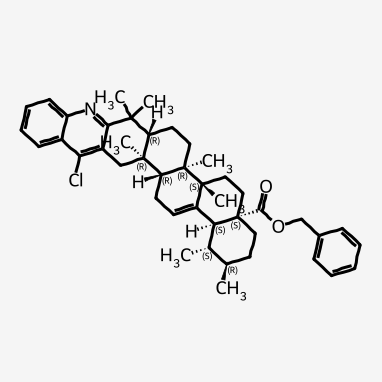 C[C@H]1[C@H](C)CC[C@]2(C(=O)OCc3ccccc3)CC[C@]3(C)C(=CC[C@@H]4[C@@]5(C)Cc6c(nc7ccccc7c6Cl)C(C)(C)[C@@H]5CC[C@]43C)[C@H]12